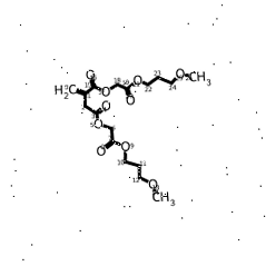 C=C(CC(=O)OCC(=O)OCCCOC)C(=O)OCC(=O)OCCCOC